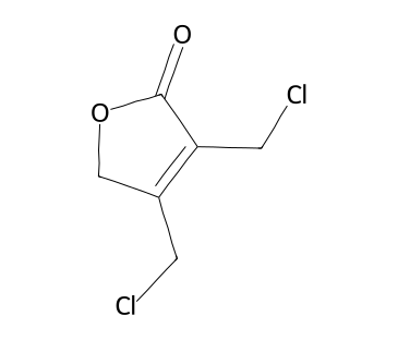 O=C1OCC(CCl)=C1CCl